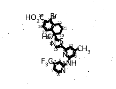 Cc1cc(Nc2cc(C(F)(F)F)ccn2)nc(-c2cnc(C3(O)CCCc4c3ccc(C(=O)O)c4Br)s2)c1